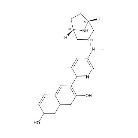 CN(c1ccc(-c2cc3ccc(O)cc3cc2O)nn1)[C@H]1C[C@H]2CC[C@@H](C1)N2